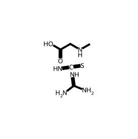 CNCC(=O)O.N=C(N)N.N=C=S